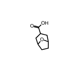 O=C(O)C1CC2CCC(C1)O2